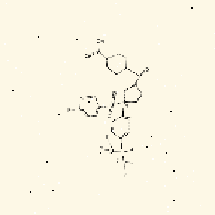 O=C(O)C1CCC(C(=O)N2CC[C@](c3ccc(C(F)(C(F)(F)F)C(F)(F)F)cc3)(S(=O)(=O)c3ccc(F)cc3)C2)CC1